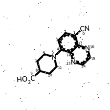 N#Cc1ccc(N2CCC(C(=O)O)CC2)c2nccnc12